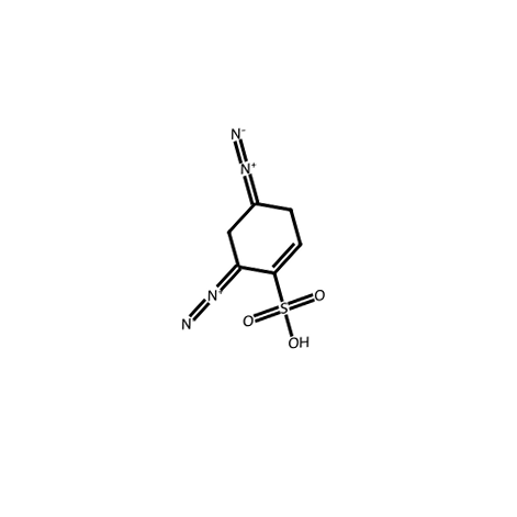 [N-]=[N+]=C1CC=C(S(=O)(=O)O)C(=[N+]=[N-])C1